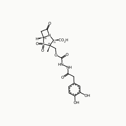 C[C@]1(COC(=O)NNC(=O)Cc2ccc(O)c(O)c2)[C@H](C(=O)O)N2C(=O)C[C@H]2S1(=O)=O